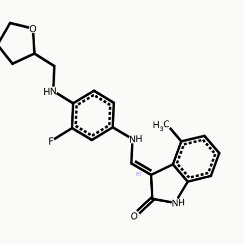 Cc1cccc2c1/C(=C\Nc1ccc(NCC3CCCO3)c(F)c1)C(=O)N2